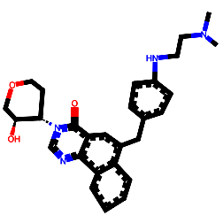 CN(C)CCNc1ccc(Cc2cc3c(=O)n([C@H]4CCOC[C@@H]4O)cnc3c3ccccc23)cc1